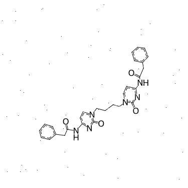 O=C(Cc1ccccc1)Nc1ccn(CCCCn2ccc(NC(=O)Cc3ccccc3)nc2=O)c(=O)n1